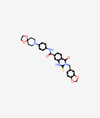 O=C(Nc1ccc(N2CCC3(CC2)OCCO3)cc1)c1ccc2c(=O)n(Cc3ccc4c(c3)OCO4)c(=S)[nH]c2c1